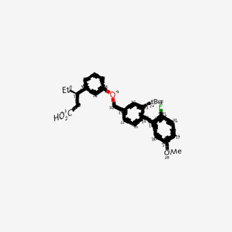 CC[C@H](CC(=O)O)c1cccc(OCc2ccc(-c3cc(OC)ccc3F)c(C(C)(C)C)c2)c1